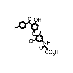 Cc1cc(NC(=O)CC(=O)O)cc(Cl)c1Oc1ccc(O)c(C(=O)c2ccc(F)cc2)c1